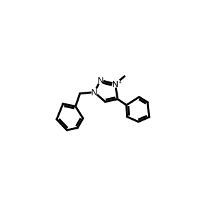 C[n+]1nn(Cc2ccccc2)cc1-c1ccccc1